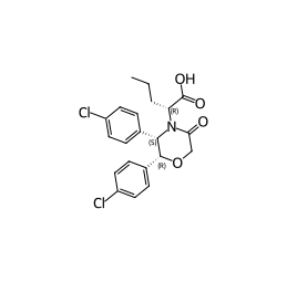 CCC[C@H](C(=O)O)N1C(=O)CO[C@H](c2ccc(Cl)cc2)[C@@H]1c1ccc(Cl)cc1